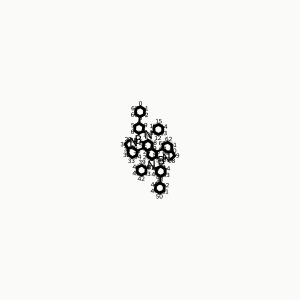 c1ccc(-c2ccc3c(c2)N(c2ccccc2)c2cc4c5c6c(cc4c4c2B3n2ccc3cccc-4c32)N(c2ccccc2)c2cc(-c3ccccc3)ccc2B6n2ccc3cccc-5c32)cc1